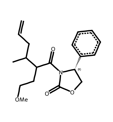 C=CCC(C)C(CCOC)C(=O)N1C(=O)OC[C@H]1c1ccccc1